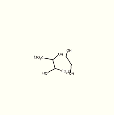 CCOC(=O)C(O)C(O)C(=O)OCC.OCCO